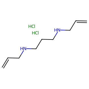 C=CCNCCCNCC=C.Cl.Cl